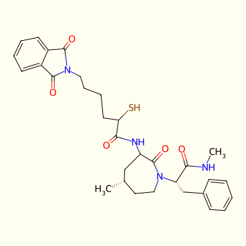 CNC(=O)[C@H](Cc1ccccc1)N1CC[C@H](C)CC(NC(=O)C(S)CCCCN2C(=O)c3ccccc3C2=O)C1=O